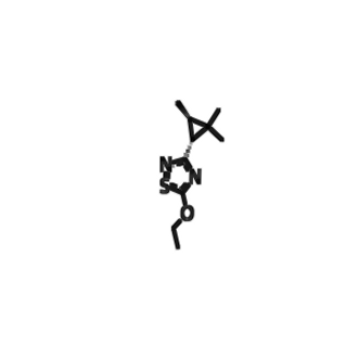 CCOc1nc([C@@H]2[C@@H](C)C2(C)C)ns1